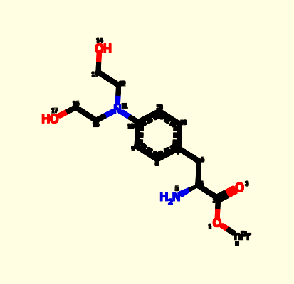 CCCOC(=O)[C@@H](N)Cc1ccc(N(CCO)CCO)cc1